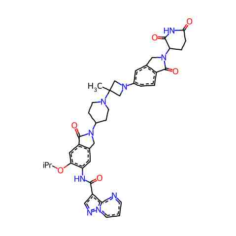 CC(C)Oc1cc2c(cc1NC(=O)c1cnn3cccnc13)CN(C1CCN(C3(C)CN(c4ccc5c(c4)CN(C4CCC(=O)NC4=O)C5=O)C3)CC1)C2=O